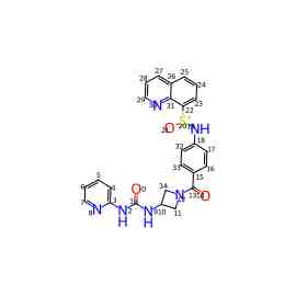 O=C(Nc1ccccn1)NC1CN(C(=O)c2ccc(N[S+]([O-])c3cccc4cccnc34)cc2)C1